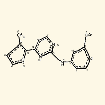 COc1cccc(Nc2nccc(-c3sccc3C)n2)c1